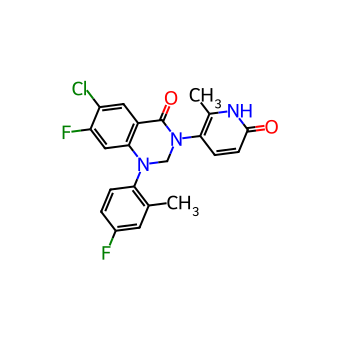 Cc1cc(F)ccc1N1CN(c2ccc(=O)[nH]c2C)C(=O)c2cc(Cl)c(F)cc21